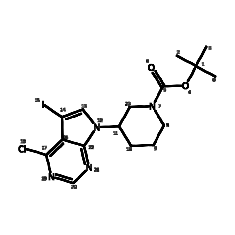 CC(C)(C)OC(=O)N1CCCC(n2cc(I)c3c(Cl)ncnc32)C1